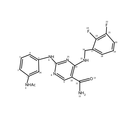 CC(=O)Nc1cccc(Nc2ncc(C(N)=O)c(NCc3cccc(F)c3F)n2)c1